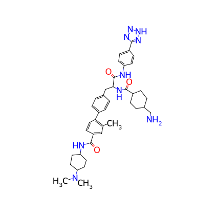 Cc1cc(C(=O)NC2CCC(N(C)C)CC2)ccc1-c1ccc(CC(NC(=O)C2CCC(CN)CC2)C(=O)Nc2ccc(-c3nn[nH]n3)cc2)cc1